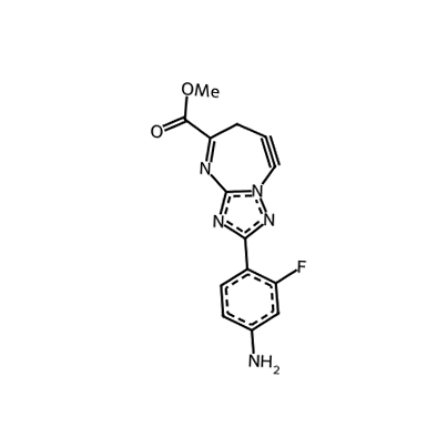 COC(=O)C1=Nc2nc(-c3ccc(N)cc3F)nn2C#CC1